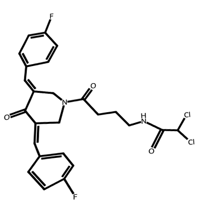 O=C1/C(=C/c2ccc(F)cc2)CN(C(=O)CCCNC(=O)C(Cl)Cl)C/C1=C\c1ccc(F)cc1